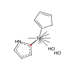 Cl.Cl.[CH3][Ti]([CH3])([CH3])([CH3])([CH3])([CH3])([CH3])([CH3])([CH3])([C]1=CC=CC1)[c]1ccc[nH]1